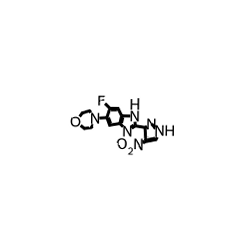 O=[N+]([O-])c1c[nH]nc1-c1nc2cc(N3CCOCC3)c(F)cc2[nH]1